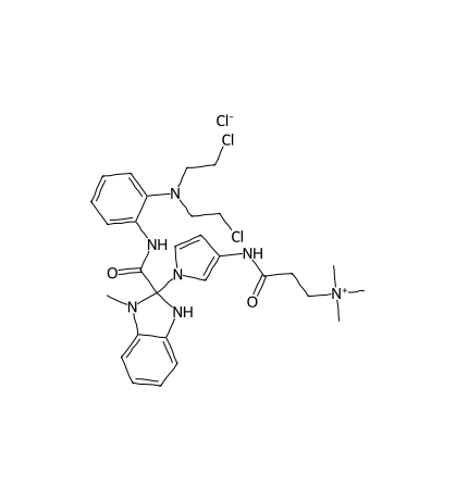 CN1c2ccccc2NC1(C(=O)Nc1ccccc1N(CCCl)CCCl)n1ccc(NC(=O)CC[N+](C)(C)C)c1.[Cl-]